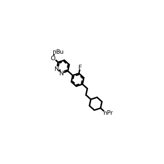 CCCCOc1ccc(-c2ccc(CCC3CCC(CCC)CC3)cc2F)nn1